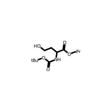 CC(C)OC(=O)C(CCO)NC(=O)OC(C)(C)C